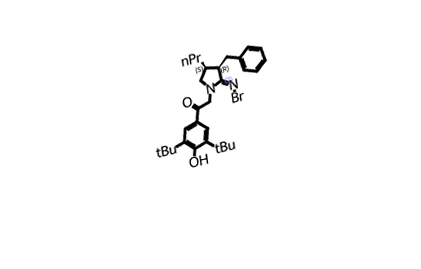 CCC[C@@H]1CN(CC(=O)c2cc(C(C)(C)C)c(O)c(C(C)(C)C)c2)/C(=N\Br)[C@@H]1Cc1ccccc1